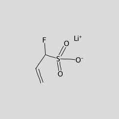 C=CC(F)S(=O)(=O)[O-].[Li+]